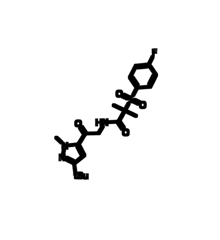 Cn1nc(C(C)(C)C)cc1C(=O)CNC(=O)C(C)(C)S(=O)(=O)c1ccc(F)cc1